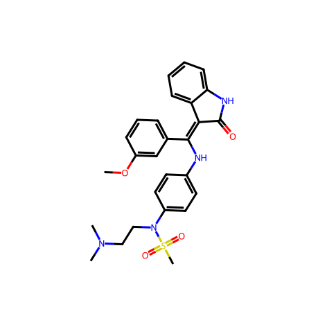 COc1cccc(/C(Nc2ccc(N(CCN(C)C)S(C)(=O)=O)cc2)=C2/C(=O)Nc3ccccc32)c1